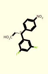 O=C(O)C[C@H](c1ccc([N+](=O)[O-])cc1)c1cc(F)cc(F)c1